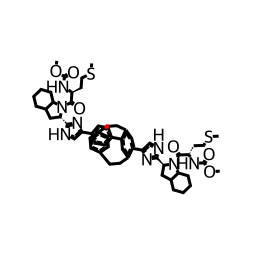 COC(=O)N[C@@H](CCSC)C(=O)N1C2CCCCC2C[C@H]1c1nc(-c2ccc(-c3cc4c(-c5c[nH]c([C@@H]6CC7CCCCC7N6C(=O)[C@H](CCSC)NC(=O)OC)n5)cc3CCc3ccc(cc3)CC4)cc2)c[nH]1